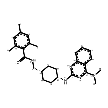 Cc1cc(C)c(C(=O)NC[C@H]2CC[C@@H](Nc3nc(N(C)C)c4ccccc4n3)CC2)c(C)c1